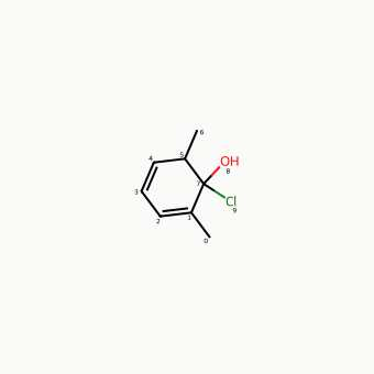 CC1=CC=CC(C)C1(O)Cl